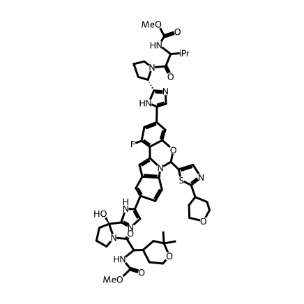 COC(=O)NC(C(=O)N1CCC[C@H]1c1ncc(-c2cc(F)c3c(c2)OC(c2cnc(C4CCOCC4)s2)n2c-3cc3cc(-c4cnc([C@@]5(O)CCCN5C(=O)C(NC(=O)OC)C5CCOC(C)(C)C5)[nH]4)ccc32)[nH]1)C(C)C